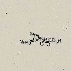 COCCOC[C@H](CC(C)C)NC(=O)[C@H]1O[C@@H]1C(=O)O